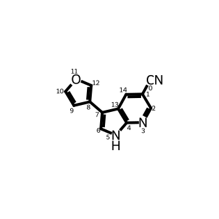 N#Cc1cnc2[nH]cc(-c3ccoc3)c2c1